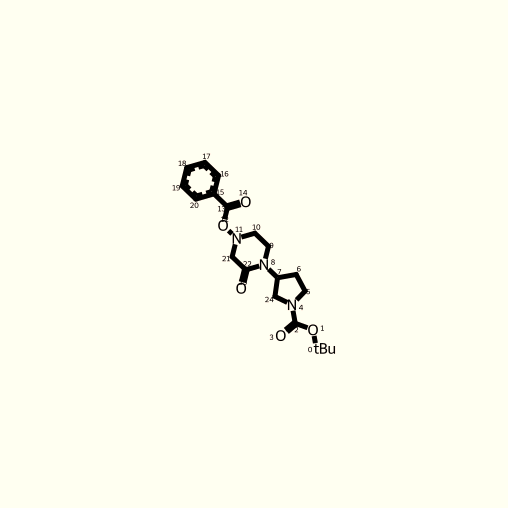 CC(C)(C)OC(=O)N1CCC(N2CCN(OC(=O)c3ccccc3)CC2=O)C1